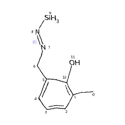 Cc1cccc(C/N=N/[SiH3])c1O